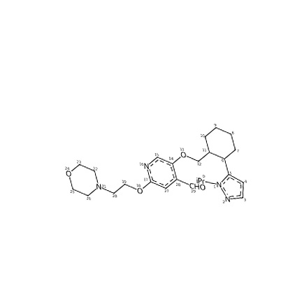 CC(C)n1nccc1C1CCCCC1COc1cnc(OCCN2CCOCC2)cc1C=O